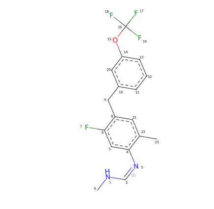 CN/C=N\c1cc(F)c(Cc2cccc(OC(F)(F)F)c2)cc1C